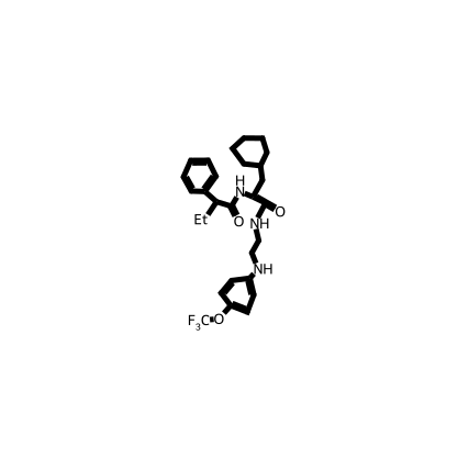 CCC(C(=O)NC(CC1CCCCC1)C(=O)NCCNc1ccc(OC(F)(F)F)cc1)c1ccccc1